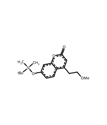 COCCc1cc(=O)oc2cc(O[Si](C)(C)C(C)(C)C)ccc12